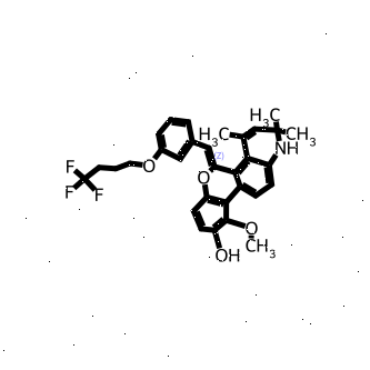 COc1c(O)ccc2c1-c1ccc3c(c1/C(=C/c1cccc(OCCCC(F)(F)F)c1)O2)C(C)=CC(C)(C)N3